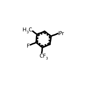 Cc1cc(C(C)C)cc(C(F)(F)F)c1F